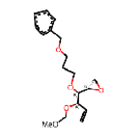 C=C[C@@H](OCOC)[C@@H](OCCCOCc1ccccc1)[C@@H]1CO1